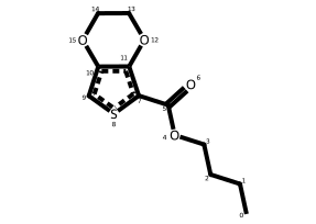 CCCCOC(=O)c1scc2c1OCCO2